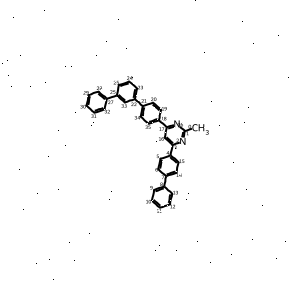 Cc1nc(-c2ccc(-c3ccccc3)cc2)cc(-c2ccc(-c3cccc(-c4ccccc4)c3)cc2)n1